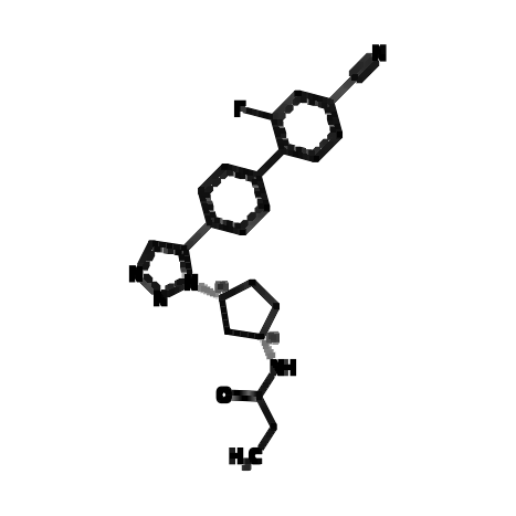 CCC(=O)N[C@H]1CC[C@@H](n2nncc2-c2ccc(-c3ccc(C#N)cc3F)cc2)C1